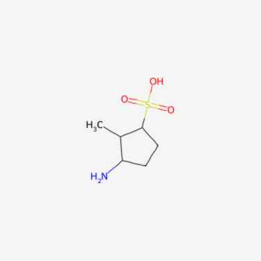 CC1C(N)CCC1S(=O)(=O)O